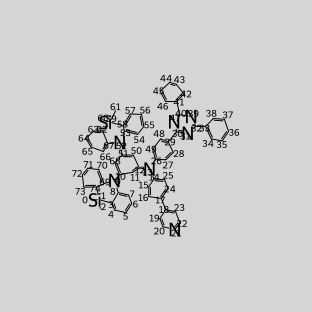 C[Si]1(C)c2ccccc2N(c2cc(N(c3ccc(-c4ccncc4)cc3)c3ccc(-c4nc(-c5ccccc5)nc(-c5ccccc5)n4)cc3)cc(N3c4ccccc4[Si](C)(C)c4ccccc43)c2)c2ccccc21